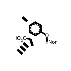 C=C.C=C.C=C.C=C.C=CC(=O)O.CCCCCCCCCOc1ccccc1